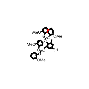 COc1ccccc1OP(OCc1cc(S)cc(C)c1OP(Oc1ccccc1OC)Oc1ccccc1OC)Oc1ccccc1OC